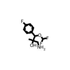 CC(O)(CN)C(OC(F)F)c1ccc(F)cc1